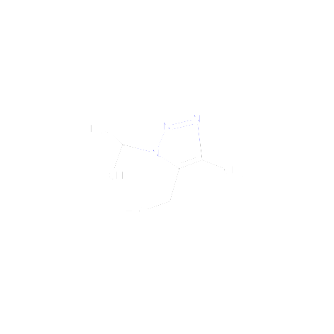 CCc1c(C)nnn1C(C)C